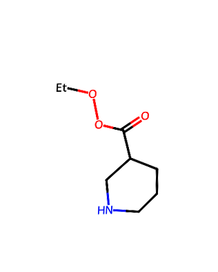 CCOOC(=O)C1CCCNC1